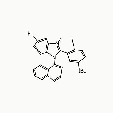 Cc1ccc(C(C)(C)C)cc1-c1n(-c2cccc3ccccc23)c2ccc(C(C)C)cc2[n+]1C